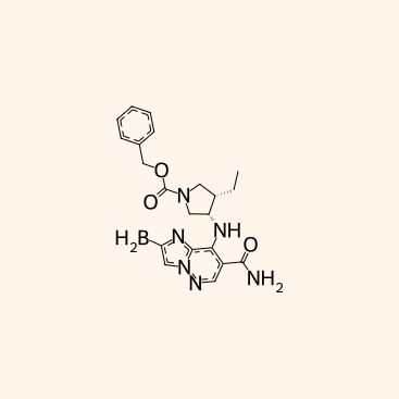 Bc1cn2ncc(C(N)=O)c(N[C@@H]3CN(C(=O)OCc4ccccc4)C[C@@H]3CC)c2n1